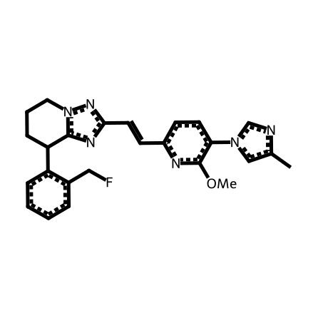 COc1nc(/C=C/c2nc3n(n2)CCCC3c2ccccc2CF)ccc1-n1cnc(C)c1